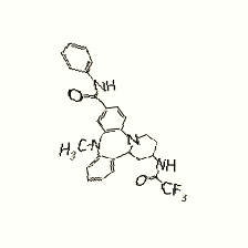 CN1c2ccccc2C2CC(NC(=O)C(F)(F)F)CCN2c2ccc(C(=O)Nc3ccccc3)cc21